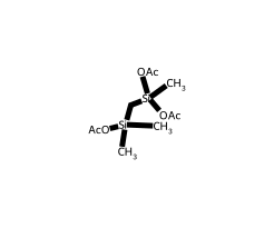 CC(=O)O[Si](C)(C)C[Si](C)(OC(C)=O)OC(C)=O